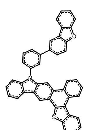 c1cc(-c2ccc3oc4ccccc4c3c2)cc(-n2c3ccccc3c3cc4c(cc32)c2ccccc2c2c3ccccc3sc42)c1